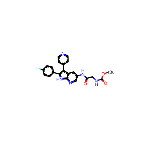 CC(C)(C)OC(=O)NCC(=O)Nc1cnc2[nH]c(-c3ccc(F)cc3)c(-c3ccncc3)c2c1